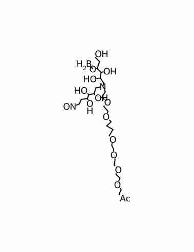 BOC(CCO)C(O)C(O)CN(CCOCCOCCCCOCCOCCOCCOCCC(C)=O)CC(O)C(O)C(O)CCN=O